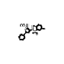 C=S(=O)(Nc1cc(-c2ccccc2)sc1C(=O)O)c1cc(C)ccc1C